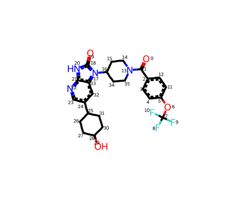 O=C(c1ccc(OC(F)(F)F)cc1)N1CCC(n2c(=O)[nH]c3ncc(C4CCC(O)CC4)cc32)CC1